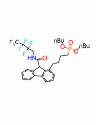 CCCCOP(=O)(CCCCc1cccc2c1C(C(=O)NCC(F)(F)C(F)(F)C(F)(F)F)c1ccccc1-2)OCCCC